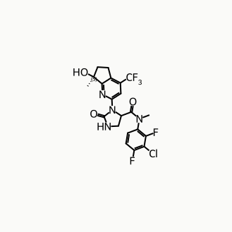 CN(C(=O)C1CNC(=O)N1c1cc(C(F)(F)F)c2c(n1)[C@@](C)(O)CC2)c1ccc(F)c(Cl)c1F